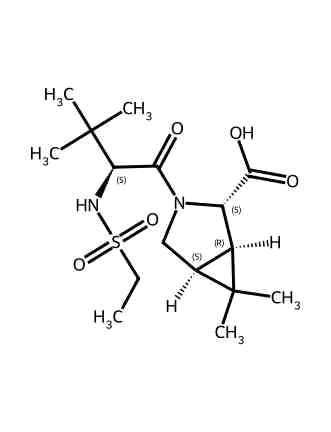 CCS(=O)(=O)N[C@H](C(=O)N1C[C@H]2[C@@H]([C@H]1C(=O)O)C2(C)C)C(C)(C)C